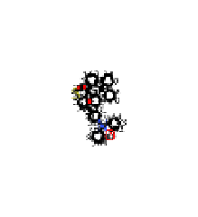 c1ccc([Si]2(c3ccccc3)c3ccccc3C3(c4ccccc4Sc4ccc(-c5ccc(N6c7ccccc7Oc7ccccc76)cc5)cc43)c3ccccc32)cc1